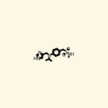 CNS(=O)(=O)Cc1ccc(N(Cc2c[nH]cn2)C(C)C)cc1